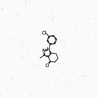 Cc1nn(-c2cccc(Cl)c2)c2c1C(=O)CCC2